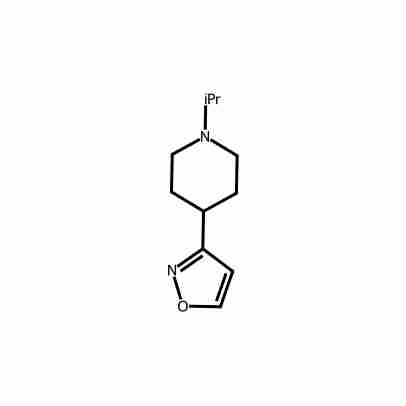 CC(C)N1CCC(c2ccon2)CC1